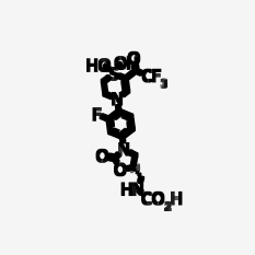 O=C(O)NC[C@H]1CN(c2ccc(N3C=C(C(=O)C(F)(F)F)S(O)(O)CC3)c(F)c2)C(=O)O1